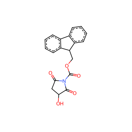 O=C1CC(O)C(=O)N1C(=O)OCC1c2ccccc2-c2ccccc21